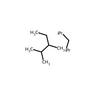 CC(C)CC(C)C.CCC(C)C(C)C